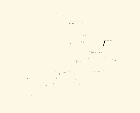 CC(C)CCN1CC2N(C(=O)OCC3CCCCC3)O[C@H](CC(N)=O)C(=O)N2[C@@H](CC(C)C)C1=O